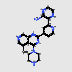 COc1cncc2nc(-c3ccnc(-c4nccnc4N)c3)nc(N3CCNCC3)c12